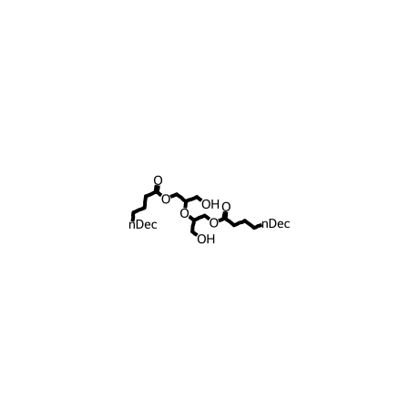 CCCCCCCCCCCCCC(=O)OCC(CO)OC(CO)COC(=O)CCCCCCCCCCCCC